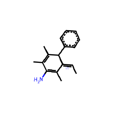 C/C=C1\C(C)=C(N)C(C)=C(C)C1c1ccccc1